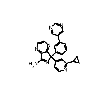 NC1=NC(c2cccc(-c3cncnc3)c2)(c2ccnc(C3CC3)c2)c2nccnc21